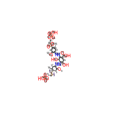 COc1cc(S(I)(I)CCOS(=O)(=O)O)c(C)cc1N=Nc1c(O)cc(C(=O)O)c(N=Nc2cc(C)c(S(=O)(=O)CCOS(=O)(=O)O)cc2OC)c1O